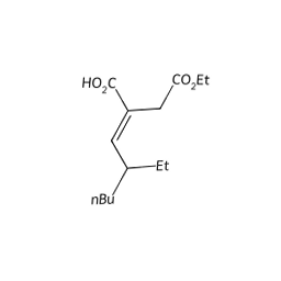 CCCCC(C=C(CC(=O)OCC)C(=O)O)CC